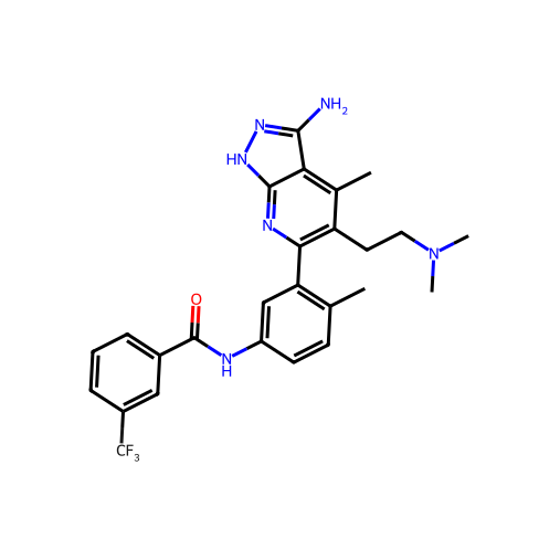 Cc1ccc(NC(=O)c2cccc(C(F)(F)F)c2)cc1-c1nc2[nH]nc(N)c2c(C)c1CCN(C)C